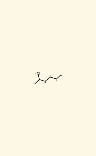 CCCSC(C)Cl